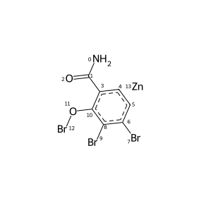 NC(=O)c1ccc(Br)c(Br)c1OBr.[Zn]